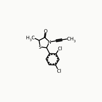 CC#CN1C(=O)C(C)SC1c1ccc(Cl)cc1Cl